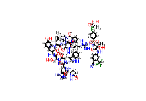 CC(=O)O.CC(O)(CS(=O)(=O)c1ccc(F)cc1)C(=O)Nc1ccc(C#N)c(C(F)(F)F)c1.CCNC(=O)[C@@H]1CCCN1C(=O)[C@H](CCCNC(=N)N)NC(=O)[C@H](CC(C)C)NC(=O)[C@@H](CC(C)C)NC(=O)[C@H](Cc1ccc(O)cc1)NC(=O)[C@H](CO)NC(=O)[C@H](Cc1c[nH]c2ccccc12)NC(=O)[C@H](Cc1cnc[nH]1)NC(=O)[C@@H]1CCC(=O)N1